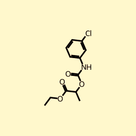 CCOC(=O)C(C)OC(=O)Nc1cccc(Cl)c1